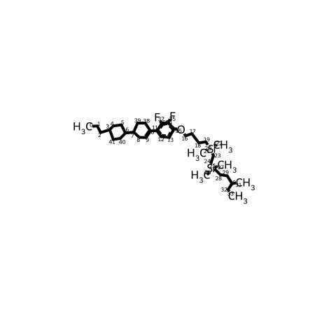 CCCC1CCC(C2CC=C(c3ccc(OCCCC[Si](C)(C)CC[Si](C)(C)CCC(C)CC)c(F)c3F)CC2)CC1